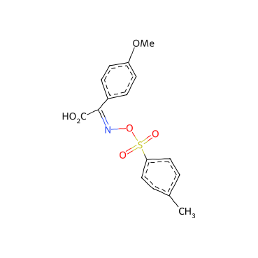 COc1ccc(/C(=N\OS(=O)(=O)c2ccc(C)cc2)C(=O)O)cc1